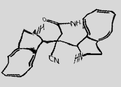 N#CC(C(N)=O)(C1NCc2ccccc21)C1NCc2ccccc21